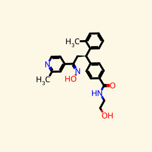 Cc1cc(C(C[C@H](c2ccc(C(=O)NCCO)cc2)c2ccccc2C)=NO)ccn1